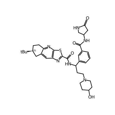 CC(C)(C)[C@H]1CCc2nc3sc(C(=O)NC(CCN4CCC(O)CC4)c4cccc(C(=O)NC5CNC(=O)C5)c4)nc3cc2C1